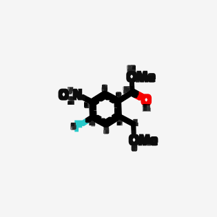 COCc1cc(F)c([N+](=O)[O-])cc1C(=O)OC